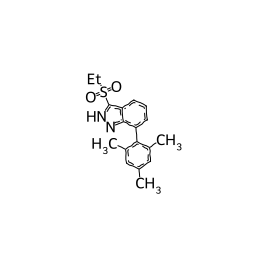 CCS(=O)(=O)c1[nH]nc2c(-c3c(C)cc(C)cc3C)cccc12